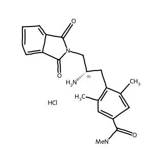 CNC(=O)c1cc(C)c(C[C@H](N)CN2C(=O)c3ccccc3C2=O)c(C)c1.Cl